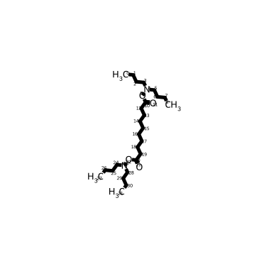 CCCCN(CCCC)OC(=O)CCCCCCCCC(=O)ON(CCCC)CCCC